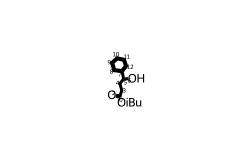 CC(C)COC(=O)CCC(O)c1ccccc1